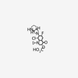 O=C(O)Oc1cn(C2CC2)c2c(Cl)c(N3C[C@@H]4CCCN[C@@H]4C3)c(F)cc2c1=O